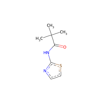 CC(C)(C)C(=O)Nc1nccs1